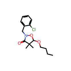 CCCCOC1ON(Cc2ccccc2Cl)C(=O)C1(C)C